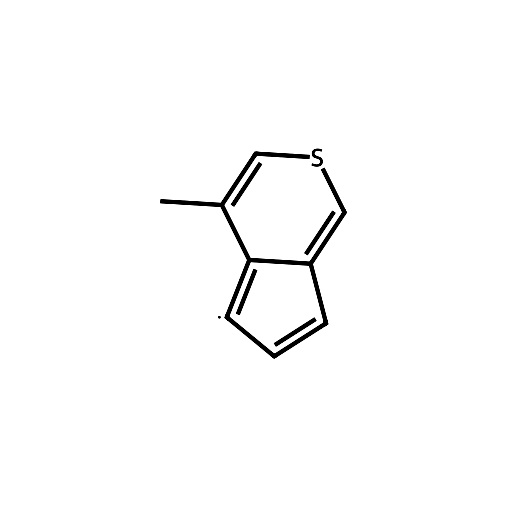 Cc1cscc2cc[c]c1-2